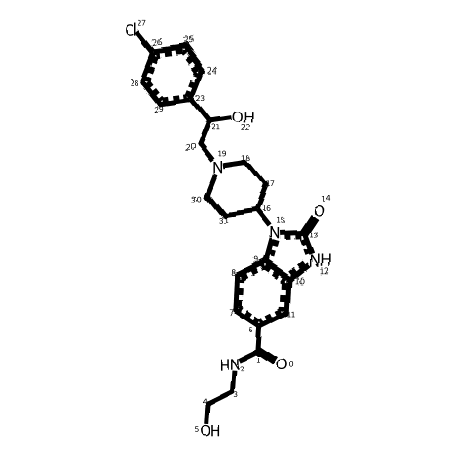 O=C(NCCO)c1ccc2c(c1)[nH]c(=O)n2C1CCN(CC(O)c2ccc(Cl)cc2)CC1